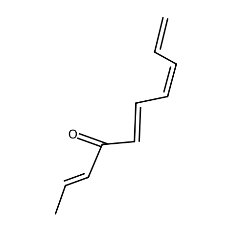 C=C/C=C\C=C\C(=O)/C=C/C